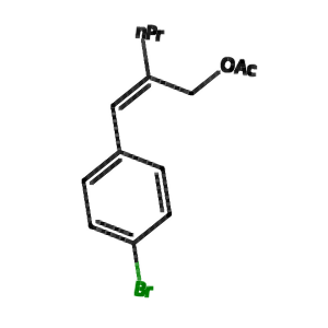 CCCC(=Cc1ccc(Br)cc1)COC(C)=O